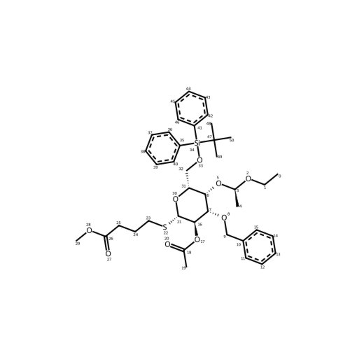 CCO[C@@H](C)O[C@@H]1[C@H](OCc2ccccc2)[C@@H](OC(C)=O)[C@H](SCCCC(=O)OC)O[C@@H]1CO[Si](c1ccccc1)(c1ccccc1)C(C)(C)C